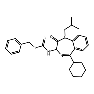 CC(C)CN1C(=O)C(NC(=O)OCc2ccccc2)N=C(C2CCCCC2)c2ccccc21